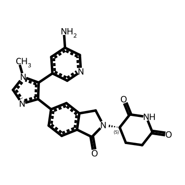 Cn1cnc(-c2ccc3c(c2)CN([C@H]2CCC(=O)NC2=O)C3=O)c1-c1cncc(N)c1